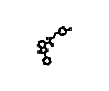 O=C(NCCc1ccc(Cl)nc1)c1ccnc2[nH]c(-c3ccccc3)nc12